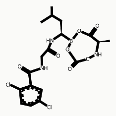 CC(C)C[C@H](NC(=O)CNC(=O)c1cc(Cl)ccc1Cl)B1OC(=O)CN[C@H](C)C(=O)O1